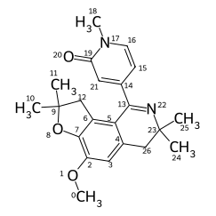 COc1cc2c(c3c1OC(C)(C)C3)C(c1ccn(C)c(=O)c1)=NC(C)(C)C2